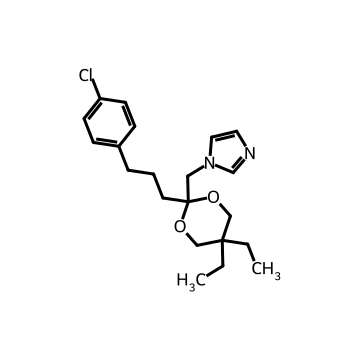 CCC1(CC)COC(CCCc2ccc(Cl)cc2)(Cn2ccnc2)OC1